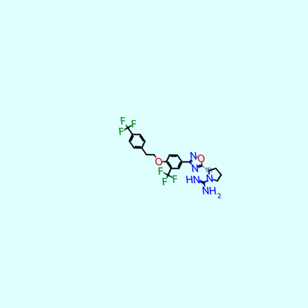 N=C(N)N1CCC[C@H]1c1nc(-c2ccc(OCCc3ccc(C(F)(F)F)cc3)c(C(F)(F)F)c2)no1